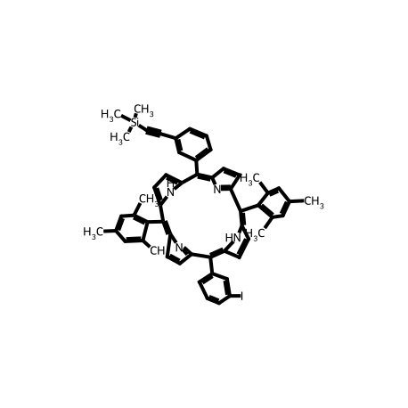 Cc1cc(C)c(-c2c3nc(c(-c4cccc(C#C[Si](C)(C)C)c4)c4ccc([nH]4)c(-c4c(C)cc(C)cc4C)c4nc(c(-c5cccc(I)c5)c5ccc2[nH]5)C=C4)C=C3)c(C)c1